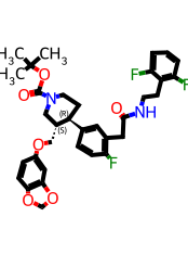 CC(C)(C)OC(=O)N1CC[C@@H](c2ccc(F)c(CC(=O)NCCc3c(F)cccc3F)c2)[C@H](COc2ccc3c(c2)OCO3)C1